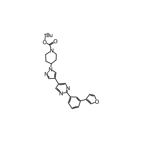 CC(C)(C)OC(=O)N1CCC(n2cc(-c3cnc(-c4cccc(-c5ccoc5)c4)nc3)cn2)CC1